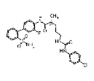 C[C@H](CCCNC(=O)Nc1ccc(Cl)cc1)C(=O)Nc1ccc(-c2ccccc2S(N)(=O)=O)cc1F